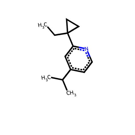 CCC1(c2cc(C(C)C)ccn2)CC1